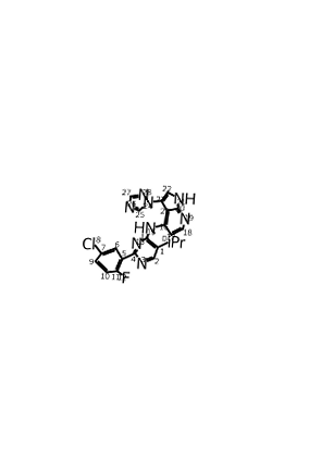 CC(C)c1cnc(-c2cc(Cl)ccc2F)nc1Nc1ccnc2[nH]cc(-n3cncn3)c12